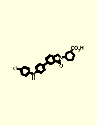 O=C(O)C1CCCC(N2Cc3ccc(-c4ccc(Nc5ccc(Cl)cc5)cc4)cc3C2=O)C1